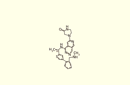 CNCc1ccccc1-c1csc([C@@H](C)Nc2nncc3cnc(N4CCNC(=O)C4)cc23)c1